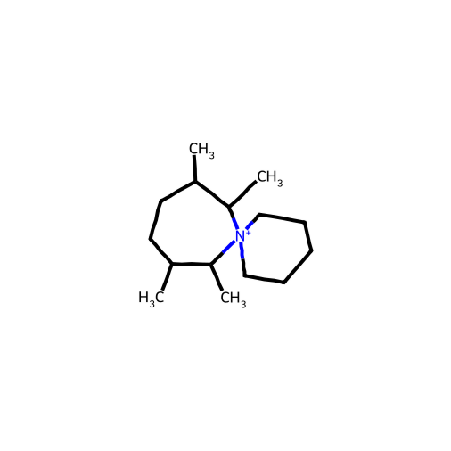 CC1CCC(C)C(C)[N+]2(CCCCC2)C1C